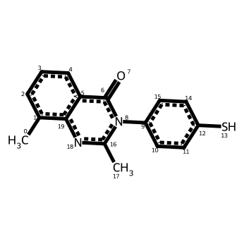 Cc1cccc2c(=O)n(-c3ccc(S)cc3)c(C)nc12